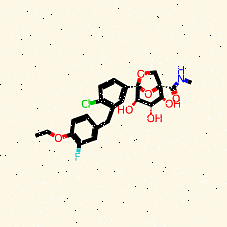 CCOc1ccc(Cc2cc([C@]34OC[C@](C(=O)NC)(O3)[C@@H](O)[C@H](O)[C@H]4O)ccc2Cl)cc1F